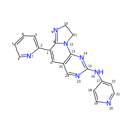 C1=C(c2ccccn2)C2=NCCN2c2nc(Nc3ccncc3)ncc21